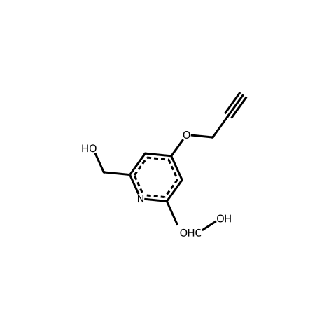 C#CCOc1cc(C)nc(CO)c1.O=CO